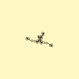 [C-]#[N+]C(C(=O)OCCOC(=O)C=C)=C1Sc2c(OC(=O)C3CCC(C4CCC(CCCOC(=O)C=C)CC4)CC3)ccc(OC(=O)C3CCC(C4CCC(CCCOC(=O)C=C)CC4)CC3)c2S1